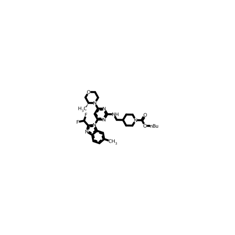 CCCCOC(=O)N1CCC(CNc2nc(N3CCOC[C@H]3C)cc(-n3c(C(F)F)nc4ccc(C)cc43)n2)CC1